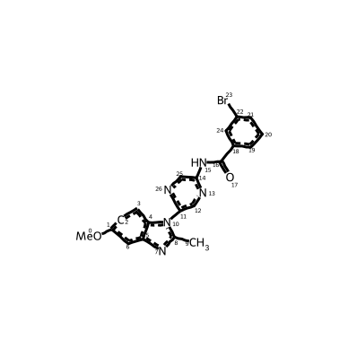 COc1ccc2c(c1)nc(C)n2-c1cnc(NC(=O)c2cccc(Br)c2)cn1